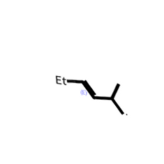 [CH2]C(C)/C=C/CC